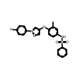 Cc1cc(NS(=O)(=O)c2ccccc2)ccc1Oc1cnn(-c2ccc(F)cc2)c1